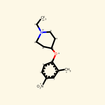 Cc1cc([N+](=O)[O-])ccc1OC1CCN(CC(F)(F)F)CC1